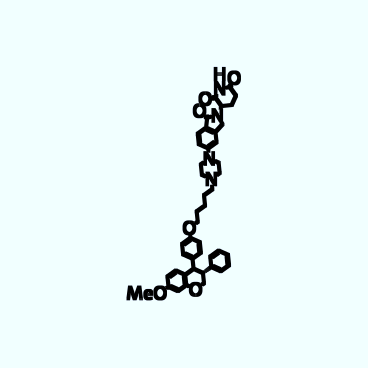 COc1ccc2c(c1)OC[C@H](c1ccccc1)C2c1ccc(OCCCCCN2CCN(c3ccc4c(c3)CN(C3CCC(=O)NC3=O)C4=O)CC2)cc1